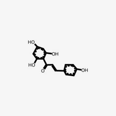 O=C(C=Cc1ccc(O)cc1)c1c(O)cc(O)cc1O